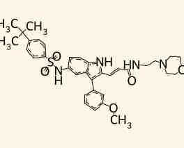 COc1cccc(-c2c(C=CC(=O)NCCN3CCOCC3)[nH]c3ccc(NS(=O)(=O)c4ccc(C(C)(C)C)cc4)cc23)c1